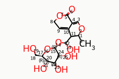 CC1OC=C2C(=O)OCC=C2C1C(O)O[C@@H]1O[C@H](CO)[C@@H](O)[C@H](O)[C@H]1O